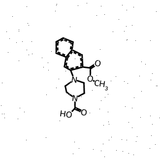 COC(=O)c1cc2ccccc2cc1N1CCN(C(=O)O)CC1